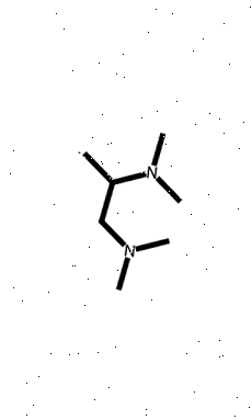 [CH2]C(CN(C)C)N(C)C